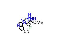 COCC1=CN(Cc2nc3cnc4ccc(C#N)cc4c3n2C2CCC(F)C2)NN1